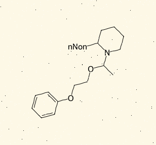 CCCCCCCCCC1CCCCN1C(C)OCCOc1ccccc1